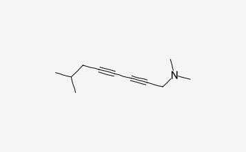 CC(C)CC#CC#CCN(C)C